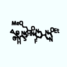 CCOc1cncc(-c2cnc(NC(=O)C(CCOC)c3csc(NS(=O)(=O)C4CC4)n3)c(F)c2)n1